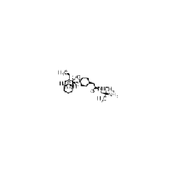 CC[C@@H]1C[C@@H]2CCC[C@@H](C2)C12OOC1(CCC(CC(=O)NCC(C)(C)N)CC1)O2